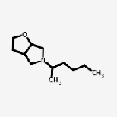 CCCCC(C)N1CC2CCOC2C1